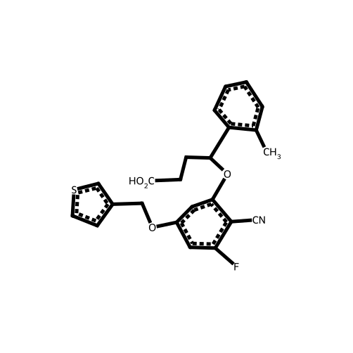 Cc1ccccc1C(CCC(=O)O)Oc1cc(OCc2ccsc2)cc(F)c1C#N